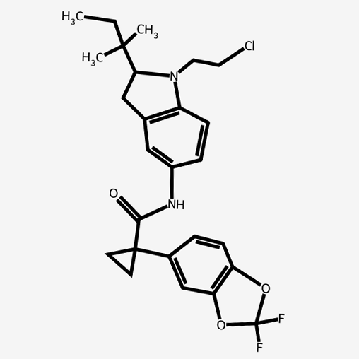 CCC(C)(C)C1Cc2cc(NC(=O)C3(c4ccc5c(c4)OC(F)(F)O5)CC3)ccc2N1CCCl